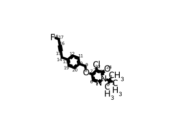 CC(C)(C)n1ncc(OCc2ccc(CC#CCF)cc2)c(Cl)c1=O